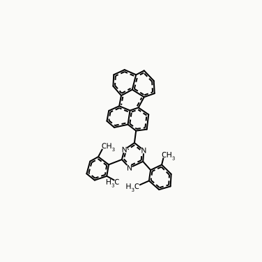 Cc1cccc(C)c1-c1nc(-c2c(C)cccc2C)nc(-c2ccc3c4cccc5cccc(c6cccc2c63)c54)n1